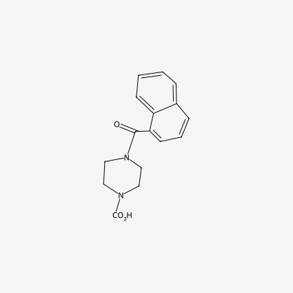 O=C(O)N1CCN(C(=O)c2cccc3ccccc23)CC1